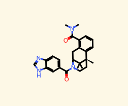 CN(C)C(=O)c1cccc2c1CC1N(C(=O)c3ccc4nc[nH]c4c3)CC[C@]2(C)C1(C)C